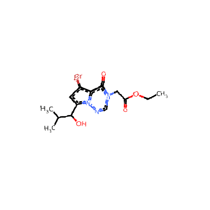 CCOC(=O)Cn1cnn2c(C(O)C(C)C)cc(Br)c2c1=O